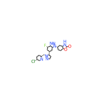 O=c1[nH]c2cc(-n3nnc4c(F)cc(-c5ccnn5Cc5ccc(Cl)cn5)cc43)ccc2o1